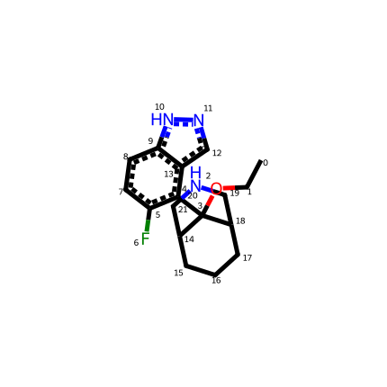 CCOC1(c2c(F)ccc3[nH]ncc23)C2CCCC1CNC2